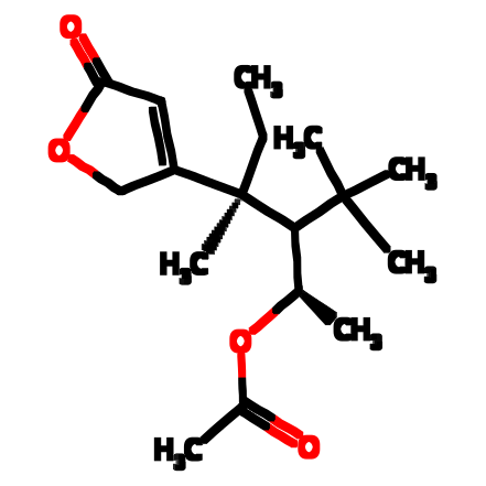 CC[C@](C)(C1=CC(=O)OC1)C([C@@H](C)OC(C)=O)C(C)(C)C